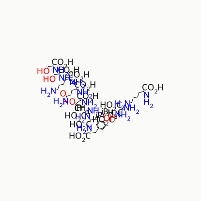 CC(C)C[C@H](N)C(=O)O.CC(C)[C@H](N)C(=O)O.CC[C@H](C)[C@H](N)C(=O)O.C[C@@H](O)[C@H](N)C(=O)O.C[C@H](N)C(=O)O.NC(=O)CC[C@H](N)C(=O)O.NCCCC[C@H](N)C(=O)O.NCCCC[C@H](N)C(=O)O.N[C@@H](CO)C(=O)O.N[C@@H](CO)C(=O)O.N[C@@H](Cc1ccc(O)cc1)C(=O)O